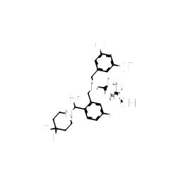 CCC(c1ccc(C(F)(F)F)cc1CN(Cc1cc(C(F)(F)F)cc(C(F)(F)F)c1)c1nnn(C)n1)N1CCC(F)(F)CC1